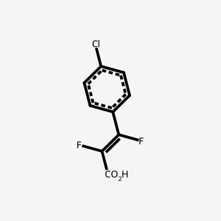 O=C(O)C(F)=C(F)c1ccc(Cl)cc1